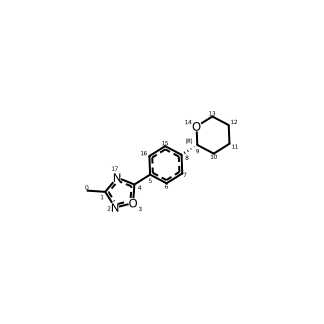 Cc1noc(-c2ccc([C@H]3CCCCO3)cc2)n1